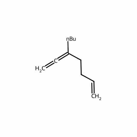 C=C=C(CCC=C)CCCC